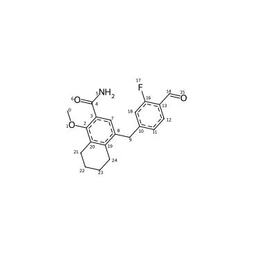 COc1c(C(N)=O)cc(Cc2ccc(C=O)c(F)c2)c2c1CCCC2